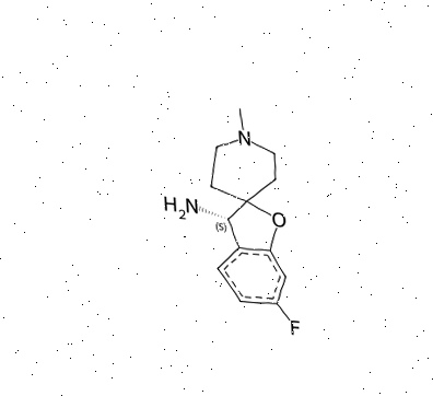 CN1CCC2(CC1)Oc1cc(F)ccc1[C@@H]2N